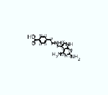 Nc1nc(N)c2c(CNCCc3ccc(C(=O)O)cc3)c[nH]c2n1